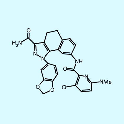 CNc1ccc(Cl)c(C(=O)Nc2ccc3c(c2)-c2c(c(C(N)=O)nn2-c2ccc4c(c2)OCO4)CC3)n1